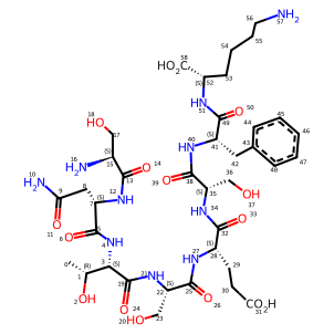 C[C@@H](O)[C@H](NC(=O)[C@H](CC(N)=O)NC(=O)[C@@H](N)CO)C(=O)N[C@@H](CO)C(=O)N[C@@H](CCC(=O)O)C(=O)N[C@@H](CO)C(=O)N[C@@H](Cc1ccccc1)C(=O)N[C@@H](CCCCN)C(=O)O